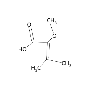 COC(C(=O)O)=C(C)C